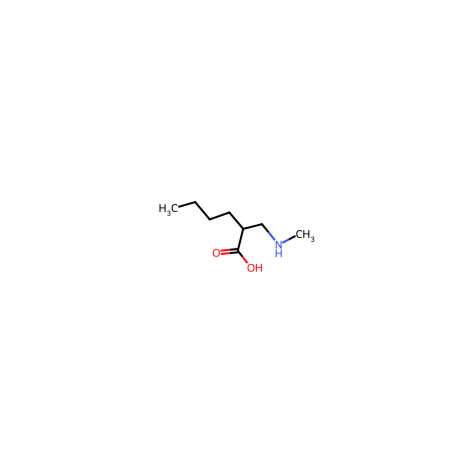 CCCCC(CNC)C(=O)O